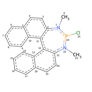 Cn1c2ccc3ccccc3c2c2c3ccccc3ccc2n(C)p1Cl